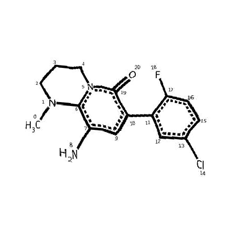 CN1CCCn2c1c(N)cc(-c1cc(Cl)ccc1F)c2=O